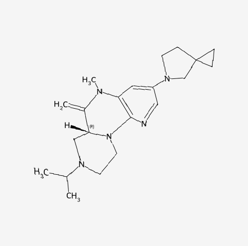 C=C1[C@H]2CN(C(C)C)CCN2c2ncc(N3CCC4(CC4)C3)cc2N1C